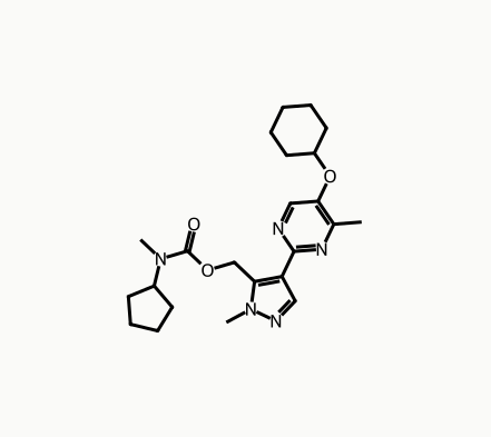 Cc1nc(-c2cnn(C)c2COC(=O)N(C)C2CCCC2)ncc1OC1CCCCC1